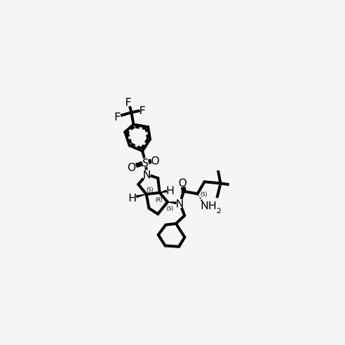 CC(C)(C)C[C@H](N)C(=O)N(CC1CCCCC1)[C@H]1CC[C@@H]2CN(S(=O)(=O)c3ccc(C(F)(F)F)cc3)C[C@@H]21